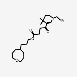 CC(C)CN1C=C(C(=O)CCC(=O)OCCCC2CCCCCCC2)C(C)(C)CC1